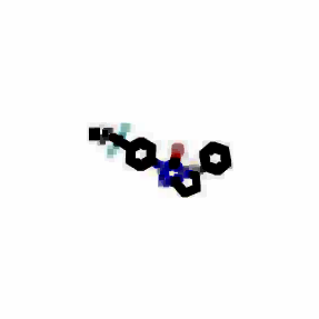 CC(F)(F)c1ccc(-n2nc3n(c2=O)[C@H](c2ccccc2)CC3)cc1